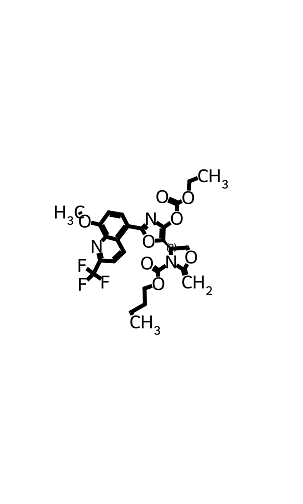 C=C1OC[C@H](c2oc(-c3ccc(OC)c4nc(C(F)(F)F)ccc34)nc2OC(=O)OCC)N1C(=O)OCCCC